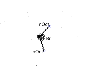 CCCCCCCC/C=C\CCCCCCCC(=O)OC(CC)(OC(=O)CCCCCCC/C=C\CCCCCCCC)[N+](C)(C)C.[Br-]